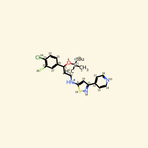 CC(C)(C)[Si](C)(C)OC(CCNc1cc(-c2ccncc2)ns1)c1ccc(Cl)c(F)c1